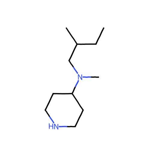 CCC(C)CN(C)C1CCNCC1